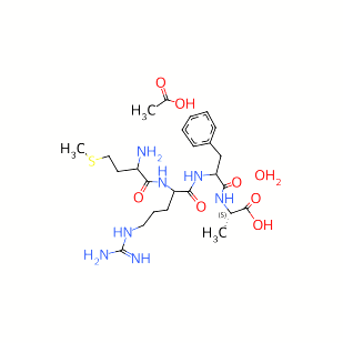 CC(=O)O.CSCCC(N)C(=O)NC(CCCNC(=N)N)C(=O)NC(Cc1ccccc1)C(=O)N[C@@H](C)C(=O)O.O